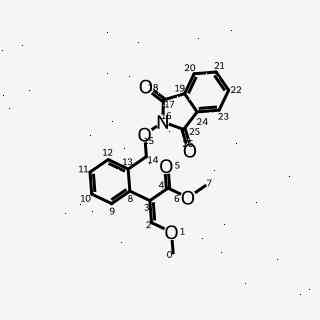 COC=C(C(=O)OC)c1ccccc1CON1C(=O)c2ccccc2C1=O